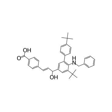 CC(C)(C)c1ccc(-c2cc(C(O)/C=C/c3ccc(C(=O)O)cc3)cc(C(C)(C)C)c2NCc2ccccc2)cc1